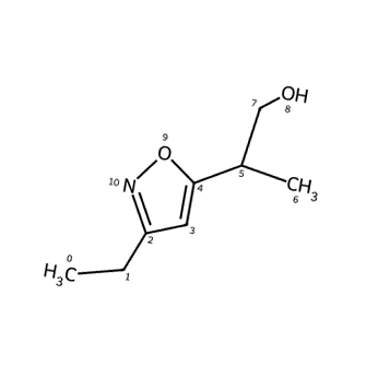 CCc1cc(C(C)CO)on1